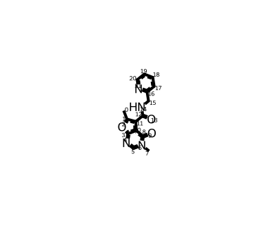 Cc1oc2ncn(C)c(=O)c2c1C(=O)NCc1ccccn1